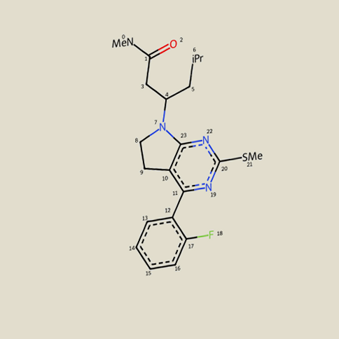 CNC(=O)CC(CC(C)C)N1CCc2c(-c3ccccc3F)nc(SC)nc21